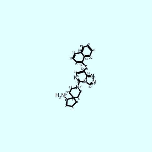 N[C@@H]1CCCC12CCN(c1ncc(Sc3cccc4ccccc34)c3nncn13)CC2